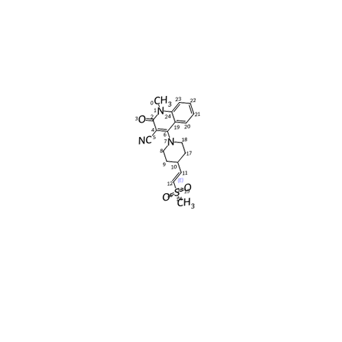 Cn1c(=O)c(C#N)c(N2CCC(/C=C/S(C)(=O)=O)CC2)c2ccccc21